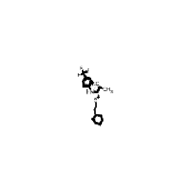 CC(C)[C@H](COCCc1ccccc1)Nc1ccc(C(F)(F)F)cc1